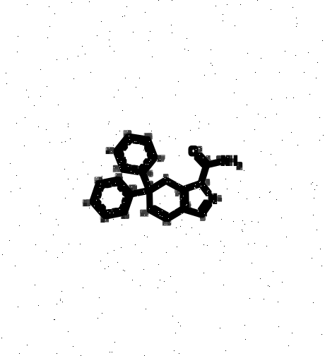 NC(=O)C1N=[C]C2=C1CC(c1ccccc1)(c1ccccc1)C=C2